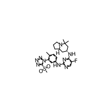 Cc1ccc(Nc2ncc(F)c(N[C@@H]3C[C@@H]4CCCN4C(C)(C)C3)n2)cc1-n1nnnc1S(C)(=O)=O